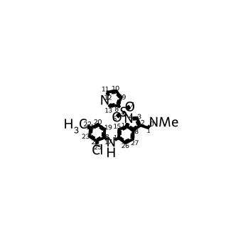 CNCc1cn(S(=O)(=O)c2cccnc2)c2cc(Nc3ccc(C)cc3Cl)ccc12